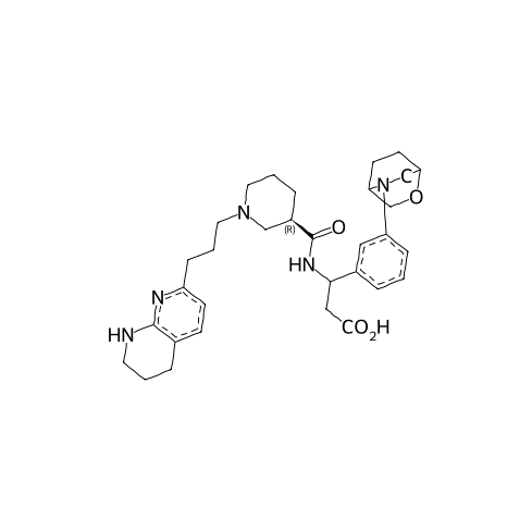 O=C(O)CC(NC(=O)[C@@H]1CCCN(CCCc2ccc3c(n2)NCCC3)C1)c1cccc(N2CC3CCC2CO3)c1